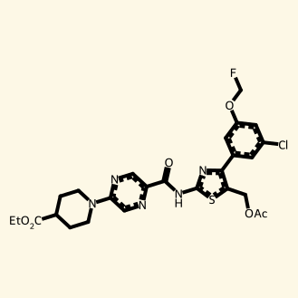 CCOC(=O)C1CCN(c2cnc(C(=O)Nc3nc(-c4cc(Cl)cc(OCF)c4)c(COC(C)=O)s3)cn2)CC1